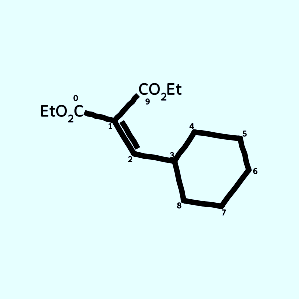 CCOC(=O)C(=CC1CCCCC1)C(=O)OCC